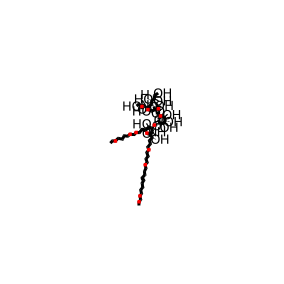 CCCCCCCC/C=C/CCCCCCCCCCCC[C@@H](O)C(=O)N[C@@H](CO[C@@H]1O[C@H](CO[C@]2(C(=O)O)C[C@H](O)[C@@H](NC(=O)CO)[C@H]([C@H](O)[C@H](O)CO)O2)[C@@H](O)[C@H](O)[C@H]1O)[C@H](O)/C=C/CCCCCCCCCCC